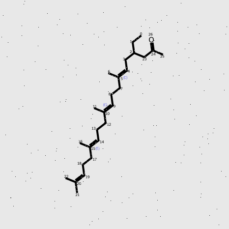 CCC(C/C=C(\C)CC/C=C(\C)CC/C=C(\C)CCC=C(C)C)CC(C)=O